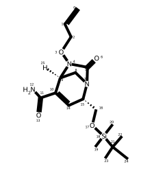 C=CCON1C(=O)N2C[C@H]1C(C(N)=O)=C[C@H]2CO[Si](C)(C)C(C)(C)C